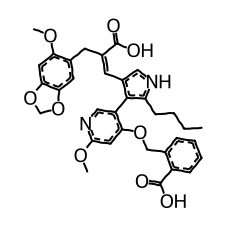 CCCCc1[nH]cc(C=C(Cc2cc3c(cc2OC)OCO3)C(=O)O)c1-c1cnc(OC)cc1OCc1ccccc1C(=O)O